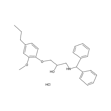 CCCc1ccc(OCC(O)CNC(c2ccccc2)c2ccccc2)c(OC)c1.Cl